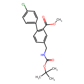 COC(=O)c1cc(CNC(=O)OC(C)(C)C)ccc1-c1ccc(Cl)cc1